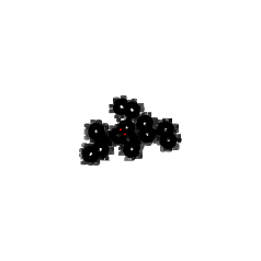 c1cc(-c2cccc3ccccc23)cc(N(c2ccccc2-c2cccc(-n3c4ccccc4c4c5ccccc5ccc43)c2)c2ccc(-c3cccc4ccccc34)c3ccccc23)c1